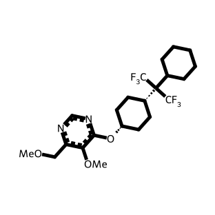 COCc1ncnc(O[C@H]2CC[C@@H](C(C3CCCCC3)(C(F)(F)F)C(F)(F)F)CC2)c1OC